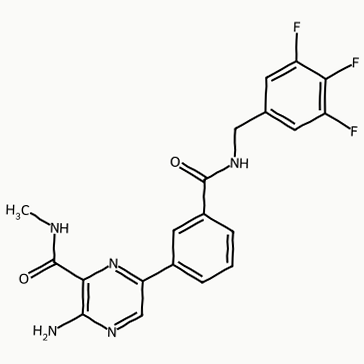 CNC(=O)c1nc(-c2cccc(C(=O)NCc3cc(F)c(F)c(F)c3)c2)cnc1N